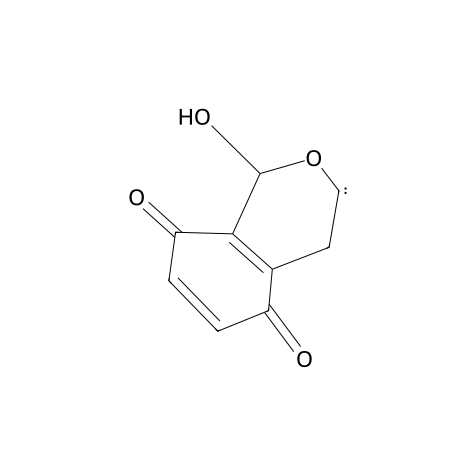 O=C1C=CC(=O)C2=C1C[C]OC2O